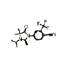 C=C1N(c2ccc(C#N)c(C(F)(F)F)c2)C(=O)C(C)(C)N1C(C)C